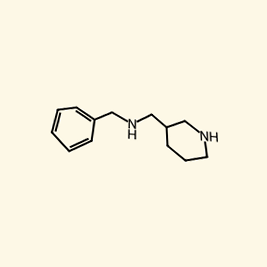 c1ccc(CNCC2CCCNC2)cc1